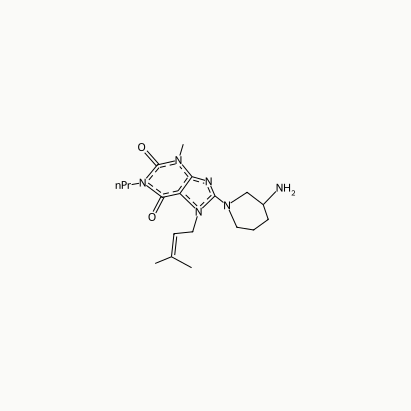 CCCn1c(=O)c2c(nc(N3CCCC(N)C3)n2CC=C(C)C)n(C)c1=O